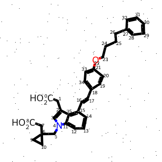 O=C(O)Cc1cn(CC2(CC(=O)O)CC2)c2cccc(C=Cc3ccc(OCCCCc4ccccc4)cc3)c12